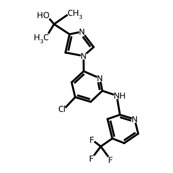 CC(C)(O)c1cn(-c2cc(Cl)cc(Nc3cc(C(F)(F)F)ccn3)n2)cn1